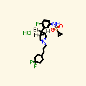 CCC1(c2cc(NS(=O)(=O)C3CC3)ccc2F)[C@@H]2CN(CCCC3CCC(F)(F)CC3)C[C@@H]21.Cl